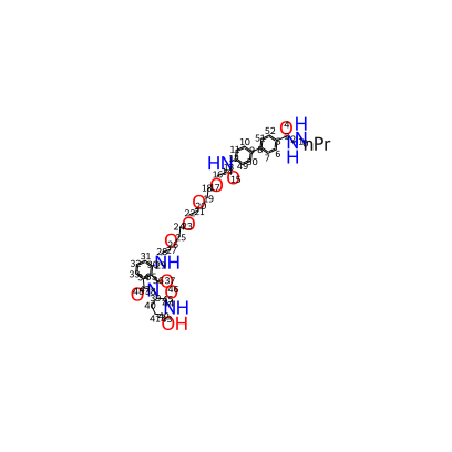 CCCNNC(=O)c1ccc(-c2ccc(NC(=O)COCCOCCOCCOCCNc3cccc4c3C(=O)N(C3CCC(O)NC3=O)C4=O)cc2)cc1